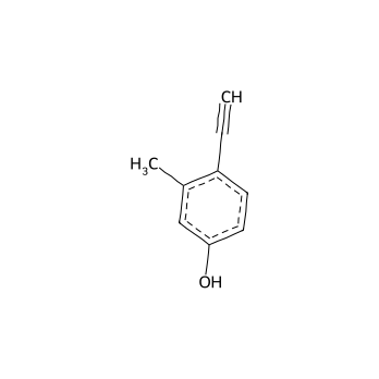 C#Cc1ccc(O)cc1C